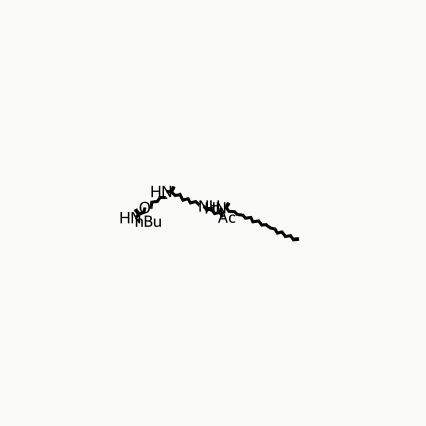 C=CCCCCCCCCCCCCCCCCC(=C)NC(CCCNCCCCCCCC(=C)NCCCCCOCC(=C)NCCCC)C(C)=O